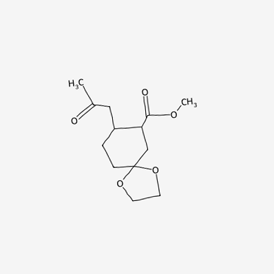 COC(=O)C1CC2(CCC1CC(C)=O)OCCO2